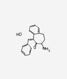 Cl.NC1CCc2ccccc2C(=Cc2ccccc2)C1=O